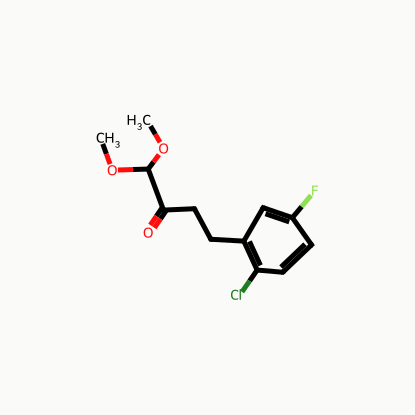 COC(OC)C(=O)CCc1cc(F)ccc1Cl